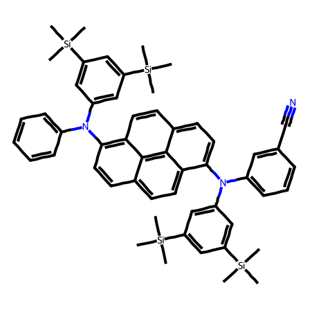 C[Si](C)(C)c1cc(N(c2ccccc2)c2ccc3ccc4c(N(c5cccc(C#N)c5)c5cc([Si](C)(C)C)cc([Si](C)(C)C)c5)ccc5ccc2c3c54)cc([Si](C)(C)C)c1